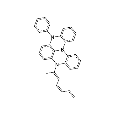 C=C/C=C\C=C(/C)N1c2ccccc2B2c3ccccc3N(c3ccccc3)c3cccc1c32